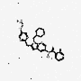 CCOc1ccc(Cc2cc3cc(N(C)C(=O)c4ccccc4F)cnc3n2CC2CCCCC2)nc1